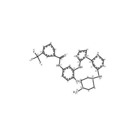 Cc1ccc(NC(=O)c2cccc(C(F)(F)F)c2)cc1Nc1nccn1-c1cc(NN2CCN(C)CC2)ncn1